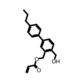 C=CC(=O)OCc1cc(-c2ccc(CCC)cc2)ccc1CO